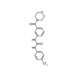 O=C(Nc1ccc(C(F)(F)F)cc1)Nc1cccc(C(=O)N2CCOCC2)c1